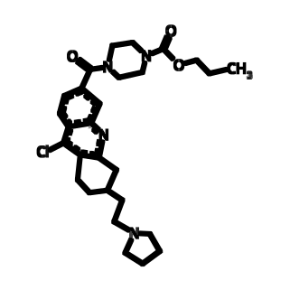 CCCOC(=O)N1CCN(C(=O)c2ccc3c(Cl)c4c(nc3c2)CC(CCN2CCCC2)CC4)CC1